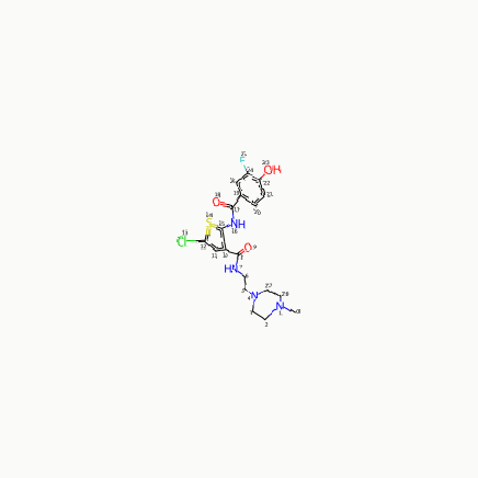 CN1CCN(CCNC(=O)c2cc(Cl)sc2NC(=O)c2ccc(O)c(F)c2)CC1